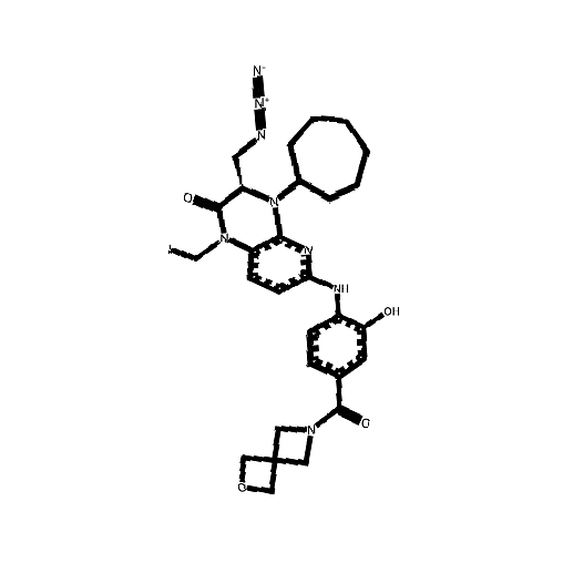 [N-]=[N+]=NC[C@@H]1C(=O)N(CI)c2ccc(Nc3ccc(C(=O)N4CC5(COC5)C4)cc3O)nc2N1C1CCCCCC1